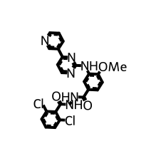 COc1ccc(C(=O)NNC(=O)c2c(Cl)cccc2Cl)cc1Nc1nccc(-c2cccnc2)n1